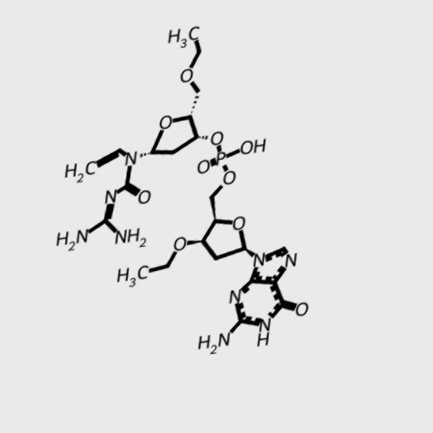 C=CN(C(=O)N=C(N)N)[C@H]1C[C@@H](OP(=O)(O)OC[C@H]2O[C@@H](n3cnc4c(=O)[nH]c(N)nc43)C[C@H]2OCC)[C@@H](COCC)O1